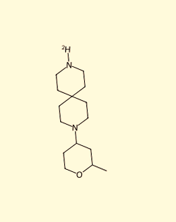 [2H]N1CCC2(CC1)CCN(C1CCOC(C)C1)CC2